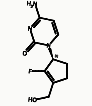 Nc1ccn([C@H]2CCC(CO)=C2F)c(=O)n1